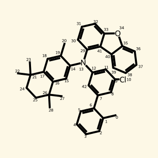 Cc1ccccc1-c1cc(Cl)cc(N(c2cc3c(cc2C)C(C)(C)CCC3(C)C)c2cccc3oc4ccccc4c23)c1